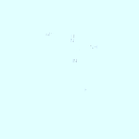 CCCC(CC)NC(=N)NCCF